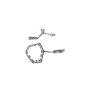 C=CBO.N#Cc1ccccc1